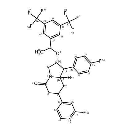 CC(O[C@H]1CN2C(=O)CC(c3ccnc(F)c3)C[C@H]2C1c1ccc(F)cc1)c1cc(C(F)(F)F)cc(C(F)(F)F)c1